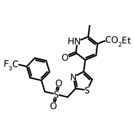 CCOC(=O)c1cc(-c2csc(CS(=O)(=O)Cc3cccc(C(F)(F)F)c3)n2)c(=O)[nH]c1C